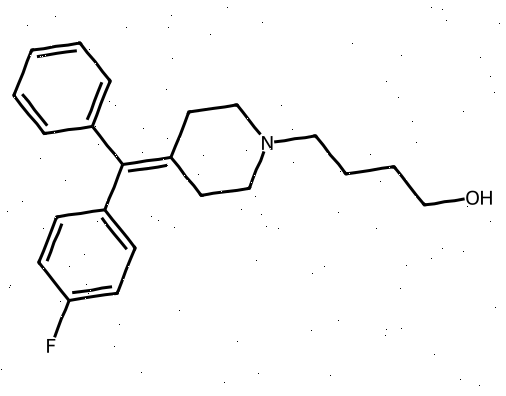 OCCCCN1CCC(=C(c2ccccc2)c2ccc(F)cc2)CC1